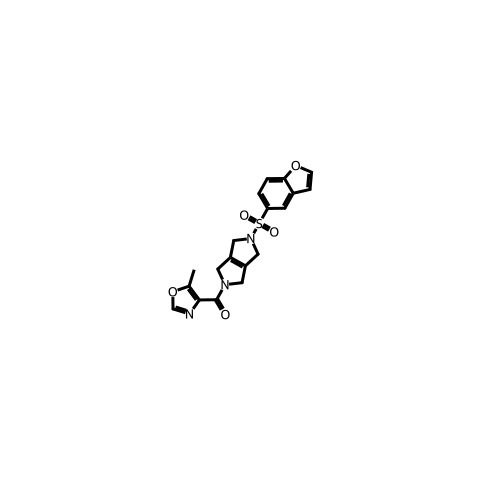 Cc1ocnc1C(=O)N1CC2=C(C1)CN(S(=O)(=O)c1ccc3occc3c1)C2